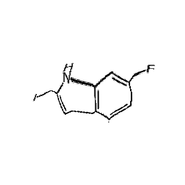 Fc1c[c]c2cc(I)[nH]c2c1